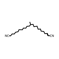 CC(CCCCCCCCC=CC#N)CCCCCCCCCCCC#N